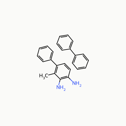 Cc1c(-c2ccccc2)ccc(N)c1N.c1ccc(-c2ccccc2)cc1